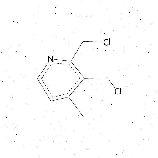 Cc1ccnc(CCl)c1CCl